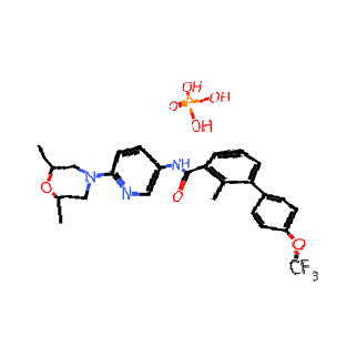 Cc1c(C(=O)Nc2ccc(N3CC(C)OC(C)C3)nc2)cccc1-c1ccc(OC(F)(F)F)cc1.O=P(O)(O)O